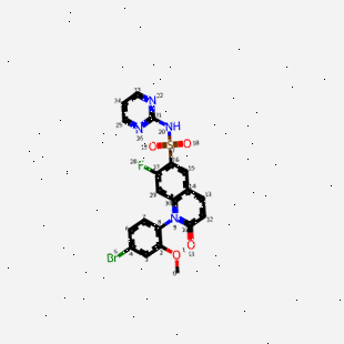 COc1cc(Br)ccc1-n1c(=O)ccc2cc(S(=O)(=O)Nc3ncccn3)c(F)cc21